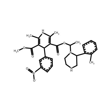 COC(=O)C1=C(C)NC(C)=C(C(=O)OC(C)N2CCNCC2c2ccccc2C)C1c1cccc([N+](=O)[O-])c1